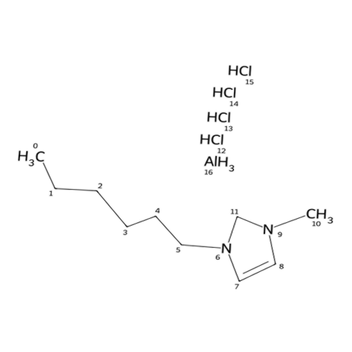 CCCCCCN1C=CN(C)C1.Cl.Cl.Cl.Cl.[AlH3]